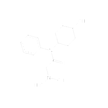 CC1CCC(N(C(=O)CN(C)C)c2ccccc2)CC1